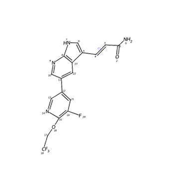 NC(=O)/C=C/c1c[nH]c2ncc(-c3cnc(OCC(F)(F)F)c(F)c3)cc12